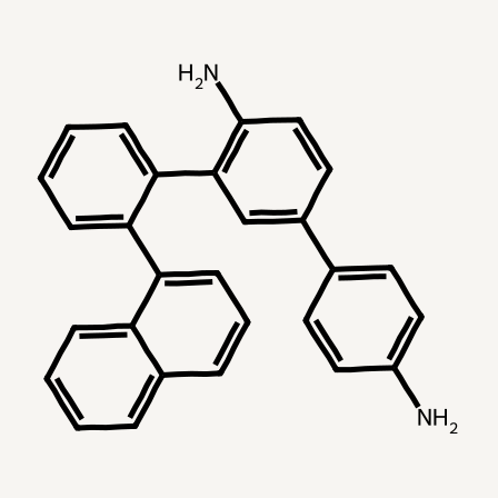 Nc1ccc(-c2ccc(N)c(-c3ccccc3-c3cccc4ccccc34)c2)cc1